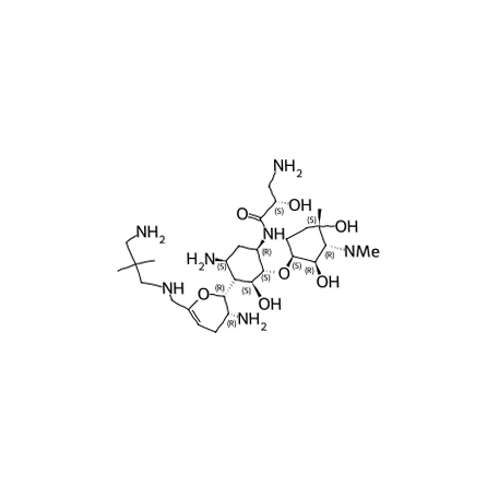 CN[C@@H]1[C@@H](O)[C@@H](O[C@H]2[C@H](NC(=O)[C@@H](O)CN)C[C@H](N)C([C@H]3OC(CNCC(C)(C)CN)=CC[C@H]3N)[C@@H]2O)CC[C@]1(C)O